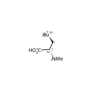 CC[C@H](C)C[C@H](NC)C(=O)O